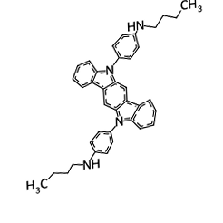 CCCCNc1ccc(-n2c3ccccc3c3cc4c(cc32)c2ccccc2n4-c2ccc(NCCCC)cc2)cc1